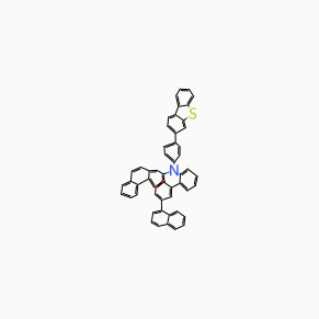 c1cc(-c2ccccc2N(c2ccc(-c3ccc4c(c3)sc3ccccc34)cc2)c2ccc3c(ccc4ccccc43)c2)cc(-c2cccc3ccccc23)c1